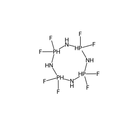 F[PH]1(F)N[PH](F)(F)N[PH](F)(F)N[PH](F)(F)N1